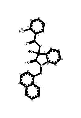 O=C(CC1(O)C(=O)N(Cc2cccc3ccccc23)c2ccccc21)c1ccccc1O